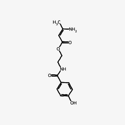 C/C(N)=C/C(=O)OCCNC(=O)c1ccc(O)cc1